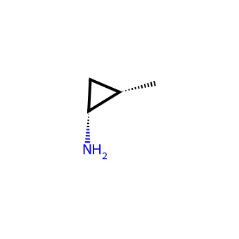 C[C@H]1C[C@H]1N